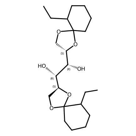 CCC1CCCCC12OC[C@@H]([C@H](O)[C@@H](O)[C@@H]1COC3(CCCCC3CC)O1)O2